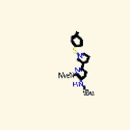 CNc1nc(C2CCCN(Sc3ccc(C)cc3)C2)ccc1NCC(C)(C)C